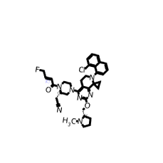 CN1CCC[C@H]1COc1nc(N2CCN(C(=O)/C=C/CF)[C@@H](CC#N)C2)c2c(n1)C1(CC1)N(c1cccc3cccc(Cl)c13)CC2